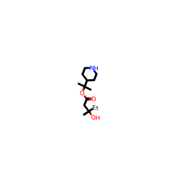 CCC(C)(O)CC(=O)OC(C)(C)C1CCNCC1